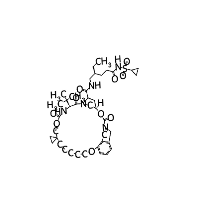 CC[C@@H](CCC(=O)NS(=O)(=O)C1CC1)CNC(=O)C1C[C@@H]2CN1C(=O)[C@H](C(C)(C)C)NC(=O)OCC1(CCCCCOc3cccc4c3CN(C4)C(=O)O2)CC1